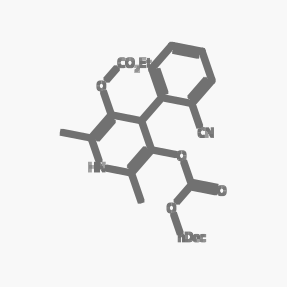 CCCCCCCCCCOC(=O)OC1=C(C)NC(C)=C(OC(=O)OCC)C1c1ccccc1C#N